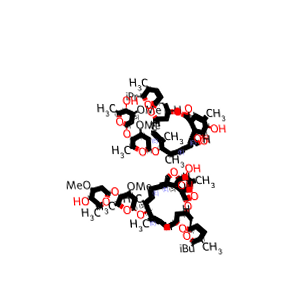 CCC(C)[C@H]1O[C@]2(C=C[C@@H]1C)C[C@@H]1C[C@@H](C/C=C(\C)[C@@H](O[C@H]3C[C@H](OC)[C@@H](O[C@H]4C[C@H](OC)[C@@H](O)[C@H](C)O4)[C@H](C)O3)[C@@H](C)/C=C/C=C3\CO[C@@H]4[C@H](O)C(C)=C[C@@H](C(=O)O1)[C@]34O)O2.CO[C@H]1C[C@H](O[C@H]2[C@H](C)O[C@@H](O[C@@H]3/C(C)=C/C[C@@H]4C[C@@H](C[C@]5(C=C[C@H](C)[C@@H](C(C)C)O5)O4)OC(=O)[C@@H]4C=C(C)[C@@H](O)[C@H]5OC/C(=C\C=C\[C@@H]3C)[C@]54O)C[C@@H]2OC)O[C@@H](C)[C@@H]1O